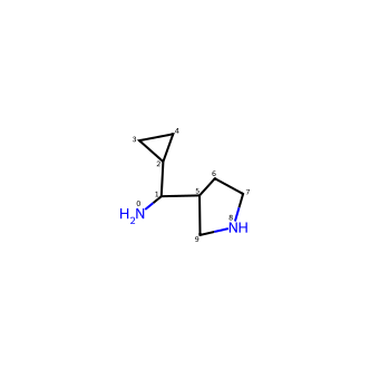 NC(C1CC1)C1CCNC1